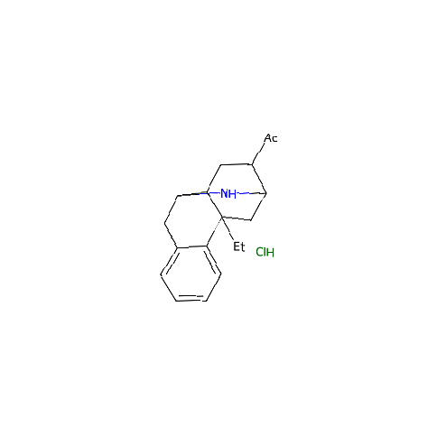 CCC12CC3NC(Cc4ccccc41)C2CC3C(C)=O.Cl